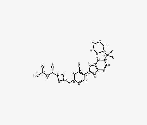 O=C(OC(=O)C(F)(F)F)C1CN(Cc2ccc(-c3nc4ccc(C5(C6CCCCC6)CC5)nc4s3)c(F)c2)C1